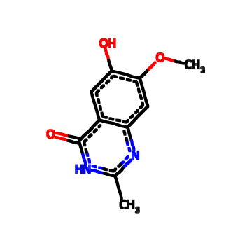 COc1cc2nc(C)[nH]c(=O)c2cc1O